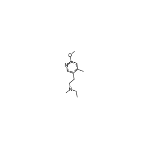 CCN(C)CCc1cnc(OC)cc1C